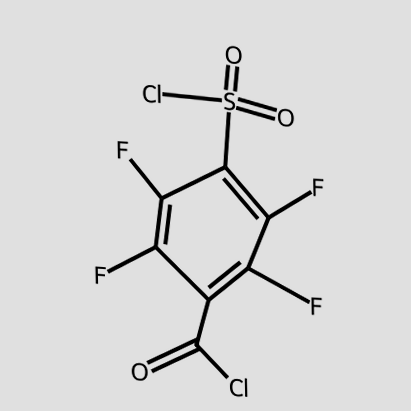 O=C(Cl)c1c(F)c(F)c(S(=O)(=O)Cl)c(F)c1F